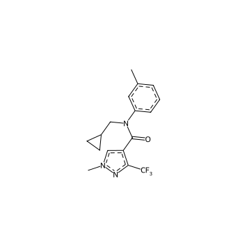 Cc1cccc(N(CC2CC2)C(=O)c2cn(C)nc2C(F)(F)F)c1